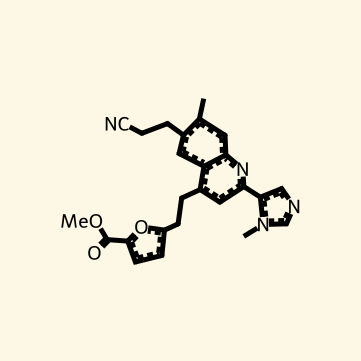 COC(=O)c1ccc(CCc2cc(-c3cncn3C)nc3cc(C)c(CCC#N)cc23)o1